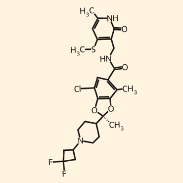 CSc1cc(C)[nH]c(=O)c1CNC(=O)c1cc(Cl)c2c(c1C)O[C@@](C)(C1CCN(C3CC(F)(F)C3)CC1)O2